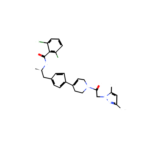 Cc1cc(C)n(CC(=O)N2CC=C(c3ccc(C[C@H](NC(=O)c4c(Cl)cccc4Cl)C(=O)O)cc3)CC2)n1